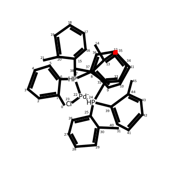 Cc1ccccc1[PH](c1ccccc1C)(c1ccccc1C)[Pd-]([Cl])[PH](c1ccccc1C)(c1ccccc1C)c1ccccc1C